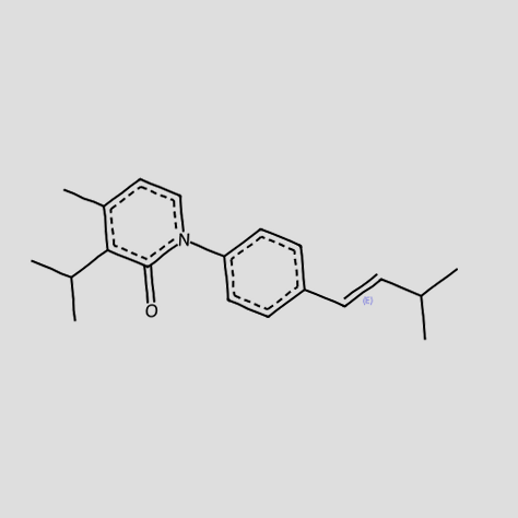 Cc1ccn(-c2ccc(/C=C/C(C)C)cc2)c(=O)c1C(C)C